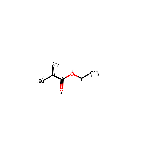 CCCC(C(=O)OCC(Cl)(Cl)Cl)C(C)CC